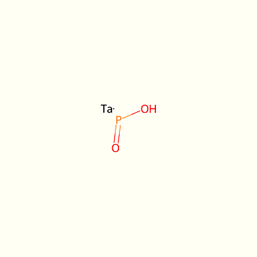 O=PO.[Ta]